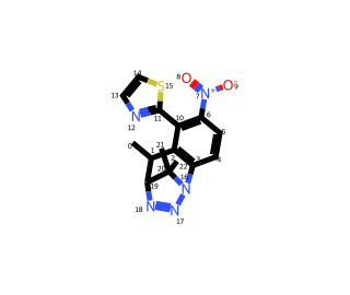 CC1c2c(ccc([N+](=O)[O-])c2-c2nccs2)N2N=NC1C2(C)C